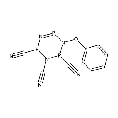 N#Cn1p(C#N)npn(Oc2ccccc2)p1C#N